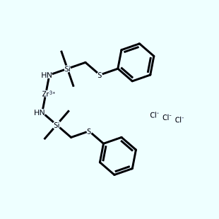 C[Si](C)(CSc1ccccc1)[NH][Zr+3][NH][Si](C)(C)CSc1ccccc1.[Cl-].[Cl-].[Cl-]